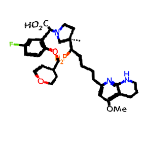 COc1cc(CCCCC(P)[C@]2(C)CCN(C(C(=O)O)c3cc(F)ccc3OCC3CCOCC3)C2)nc2c1CCCN2